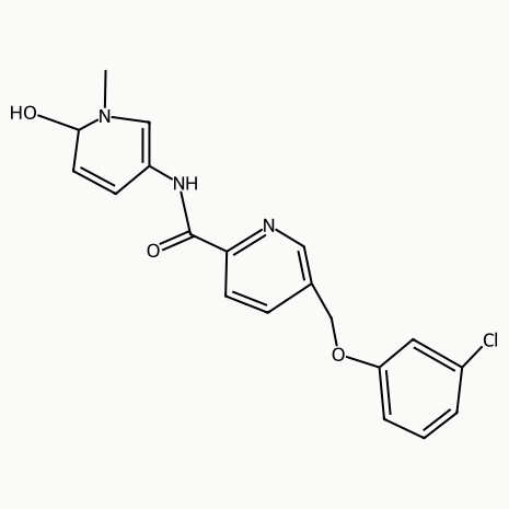 CN1C=C(NC(=O)c2ccc(COc3cccc(Cl)c3)cn2)C=CC1O